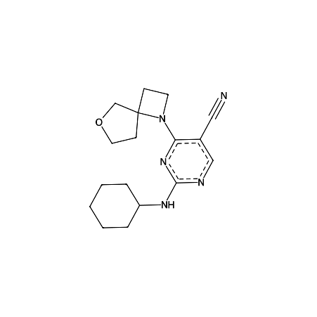 N#Cc1cnc(NC2CCCCC2)nc1N1CCC12CCOC2